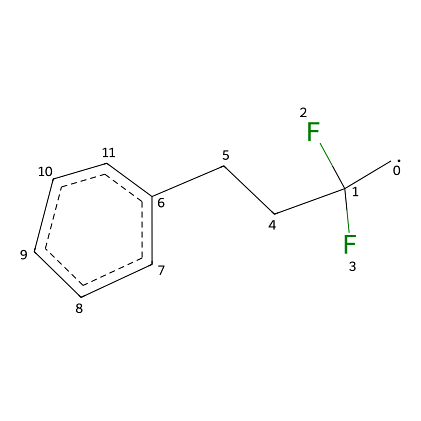 [CH2]C(F)(F)CCc1ccccc1